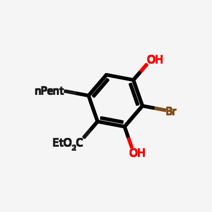 CCCCCc1cc(O)c(Br)c(O)c1C(=O)OCC